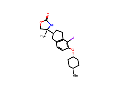 CC(C)(C)[C@H]1CC[C@H](Oc2ccc3c(c2I)CC[C@H]([C@]2(C)COC(=O)N2)C3)CC1